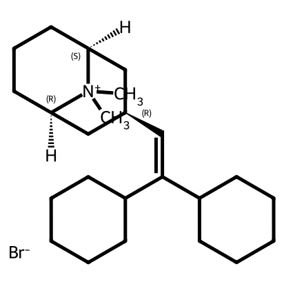 C[N+]1(C)[C@@H]2CCC[C@H]1C[C@@H](C=C(C1CCCCC1)C1CCCCC1)C2.[Br-]